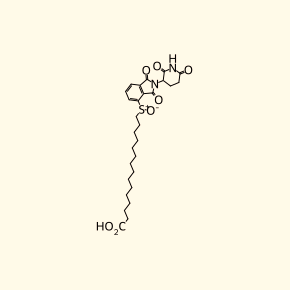 O=C(O)CCCCCCCCCCCCCC[S+]([O-])c1cccc2c1C(=O)N(C1CCC(=O)NC1=O)C2=O